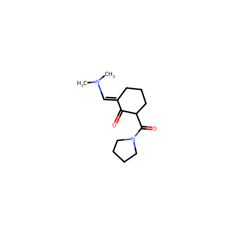 CN(C)C=C1CCCC(C(=O)N2CCCC2)C1=O